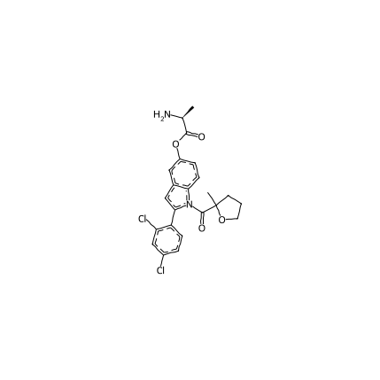 C[C@H](N)C(=O)Oc1ccc2c(c1)cc(-c1ccc(Cl)cc1Cl)n2C(=O)C1(C)CCCO1